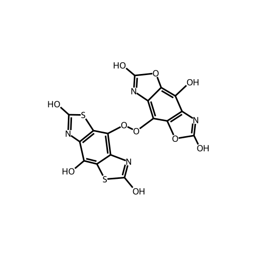 Oc1nc2c(OOc3c4nc(O)sc4c(O)c4nc(O)sc34)c3oc(O)nc3c(O)c2o1